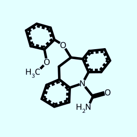 COc1ccccc1OC1Cc2ccccc2N(C(N)=O)c2ccccc21